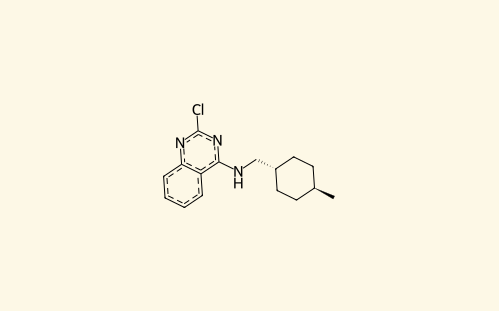 C[C@H]1CC[C@H](CNc2nc(Cl)nc3ccccc23)CC1